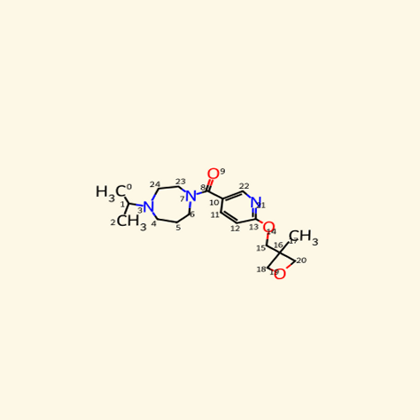 CC(C)N1CCCN(C(=O)c2ccc(OCC3(C)COC3)nc2)CC1